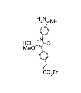 CCOC(=O)CCc1ccc(C2=C(OC)CN(c3ccc(C(=N)N)cc3)C2=O)cc1.Cl